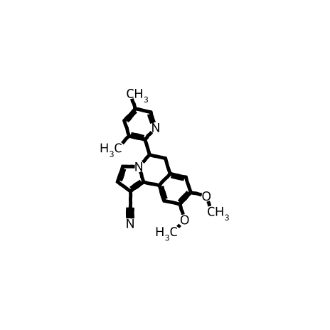 COc1cc2c(cc1OC)-c1c(C#N)ccn1C(c1ncc(C)cc1C)C2